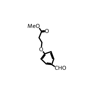 COC(=O)CCOc1ccc(C=O)cc1